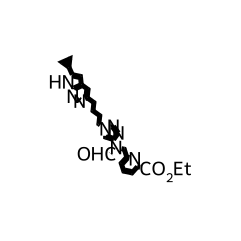 CCOC(=O)c1cccc(CN(C=O)c2cn(CCCCc3cc4cc(C5CC5)[nH]c4nn3)nn2)n1